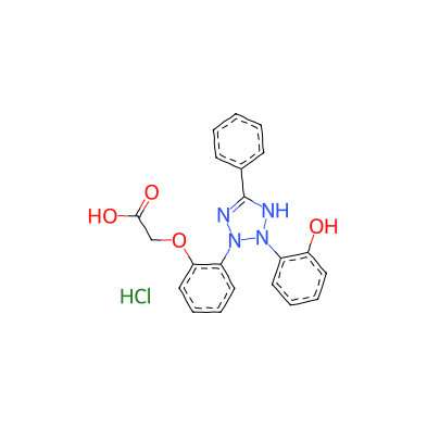 Cl.O=C(O)COc1ccccc1N1N=C(c2ccccc2)NN1c1ccccc1O